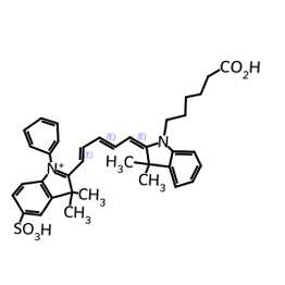 CC1(C)C(/C=C/C=C/C=C2/N(CCCCCC(=O)O)c3ccccc3C2(C)C)=[N+](c2ccccc2)c2ccc(S(=O)(=O)O)cc21